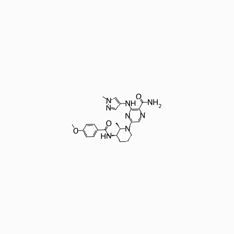 COc1ccc(C(=O)N[C@@H]2CCCN(c3cnc(C(N)=O)c(Nc4cnn(C)c4)n3)[C@@H]2C)cc1